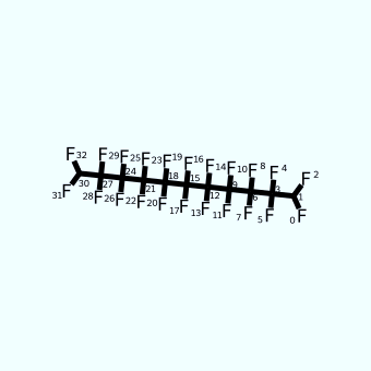 F[C](F)C(F)(F)C(F)(F)C(F)(F)C(F)(F)C(F)(F)C(F)(F)C(F)(F)C(F)(F)C(F)(F)[C](F)F